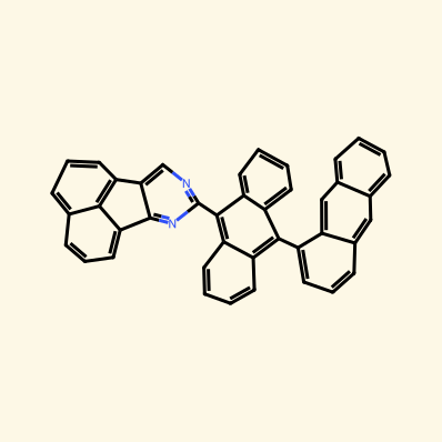 c1ccc2cc3c(-c4c5ccccc5c(-c5ncc6c(n5)-c5cccc7cccc-6c57)c5ccccc45)cccc3cc2c1